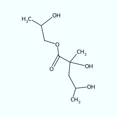 CC(O)COC(=O)C(C)(O)CC(C)O